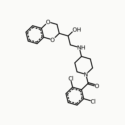 O=C(c1c(Cl)cccc1Cl)N1CCC(NCC(O)C2COc3ccccc3O2)CC1